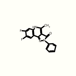 Cc1[nH]c2cc(F)c(F)cc2c2nn(-c3ccccc3)c(=O)c1-2